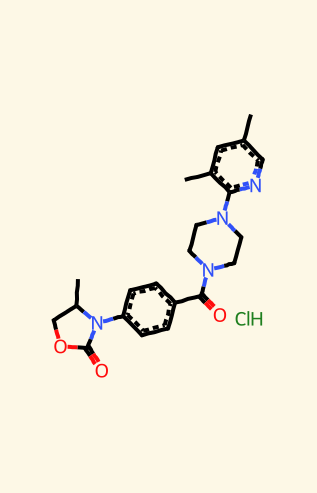 Cc1cnc(N2CCN(C(=O)c3ccc(N4C(=O)OCC4C)cc3)CC2)c(C)c1.Cl